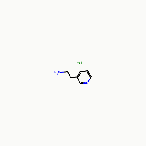 Cl.NCCc1cccnc1